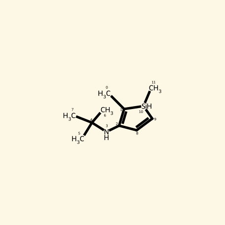 CC1=C(NC(C)(C)C)C=C[SiH]1C